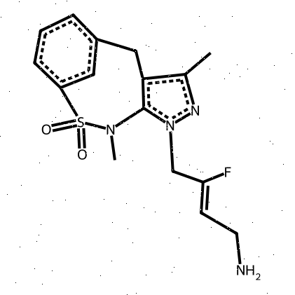 Cc1nn(C/C(F)=C/CN)c2c1Cc1cccc(c1)S(=O)(=O)N2C